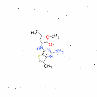 CCCC(Nc1nc(N)nc2c(C)csc12)C(=O)OC